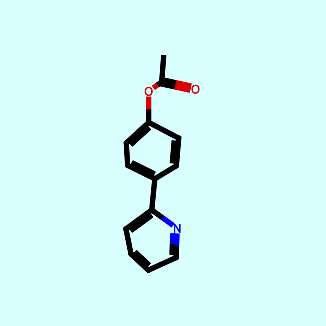 CC(=O)Oc1ccc(-c2ccccn2)cc1